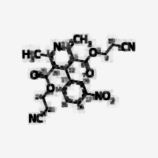 Cc1nc(C)c(C(=O)OCCC#N)c(-c2cccc([N+](=O)[O-])c2)c1C(=O)OCCC#N